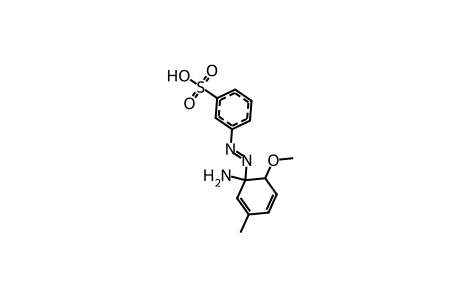 COC1C=CC(C)=CC1(N)/N=N/c1cccc(S(=O)(=O)O)c1